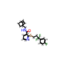 O=C(NCC12CCC(CC1)C2)c1cccnc1SCCC(F)(F)c1ccc(F)cc1